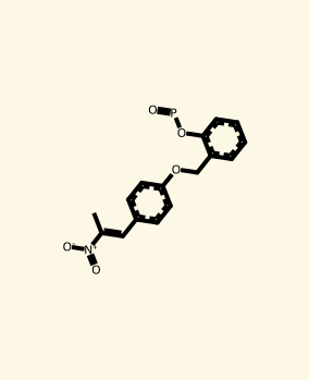 C/C(=C\c1ccc(OCc2ccccc2OP=O)cc1)[N+](=O)[O-]